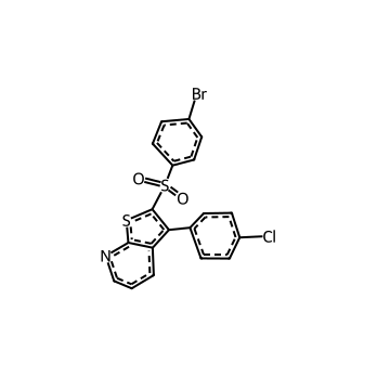 O=S(=O)(c1ccc(Br)cc1)c1sc2ncccc2c1-c1ccc(Cl)cc1